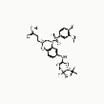 COc1cc(S(=O)(=O)N2C[C@H](CCC(=O)O)Oc3ccc(NC(=O)O[C@H](C(C)(C)C)C(F)(F)F)cc32)ccc1F